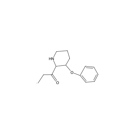 [CH2]CC(=O)C1NCCCC1Oc1ccccc1